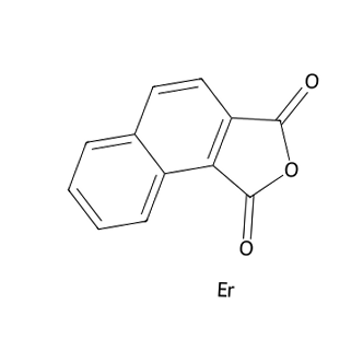 O=C1OC(=O)c2c1ccc1ccccc21.[Er]